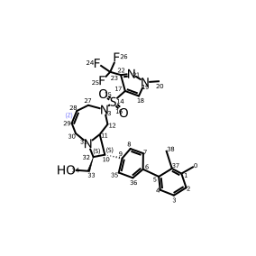 Cc1cccc(-c2ccc([C@H]3C4CN(S(=O)(=O)c5cn(C)nc5C(F)(F)F)C/C=C\CN4[C@@H]3CO)cc2)c1C